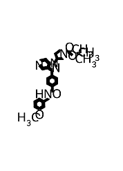 COc1cccc(CNC(=O)c2ccc(-c3nn(C4CCN(C(=O)OC(C)(C)C)C4)c4ccncc34)cc2)c1